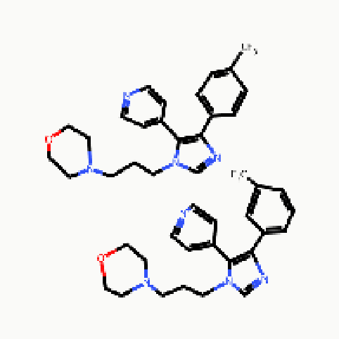 FC(F)(F)c1ccc(-c2ncn(CCCN3CCOCC3)c2-c2ccncc2)cc1.FC(F)(F)c1cccc(-c2ncn(CCCN3CCOCC3)c2-c2ccncc2)c1